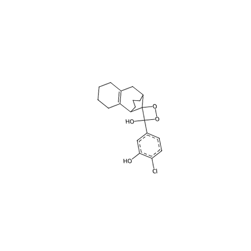 Oc1cc(C2(O)OOC23C2CCCC3C3=C(CCCC3)C2)ccc1Cl